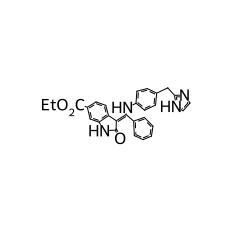 CCOC(=O)c1ccc2c(c1)NC(=O)C2=C(Nc1ccc(Cc2ncc[nH]2)cc1)c1ccccc1